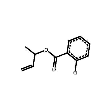 C=CC(C)OC(=O)c1ccccc1Cl